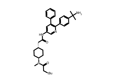 CN(C(=O)CC(C)(C)C)[C@H]1CC[C@H](CC(=O)Nc2cnc(-c3ccc(C(C)(C)N)cc3)c(-c3ccccc3)c2)CC1